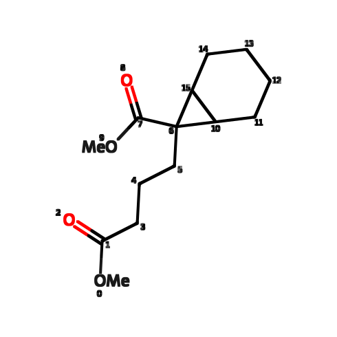 COC(=O)CCCC1(C(=O)OC)C2CCCCC21